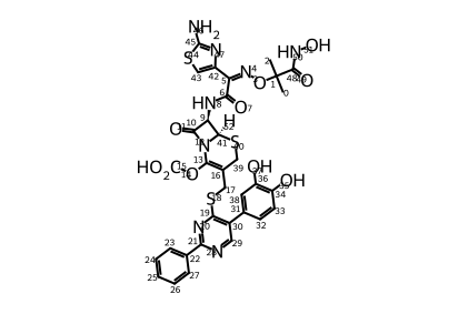 CC(C)(O/N=C(\C(=O)N[C@@H]1C(=O)N2C(OC(=O)O)=C(CSc3nc(-c4ccccc4)ncc3-c3ccc(O)c(O)c3)CS[C@H]12)c1csc(N)n1)C(=O)NO